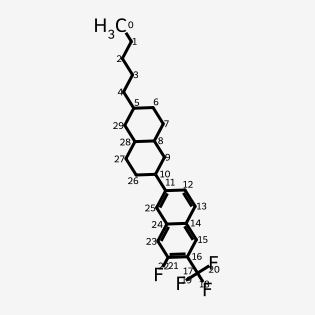 CCCCCC1CCC2CC(c3ccc4cc(C(F)(F)F)c(F)cc4c3)CCC2C1